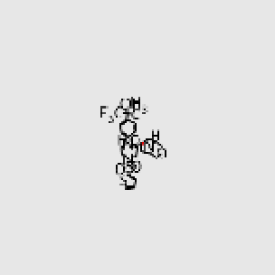 CC(O)(c1ccc(N2CCN(S(=O)(=O)c3cccs3)C[C@@H]2CN2C3COC[C@@H]2CC(O)C3)cc1)C(F)(F)F